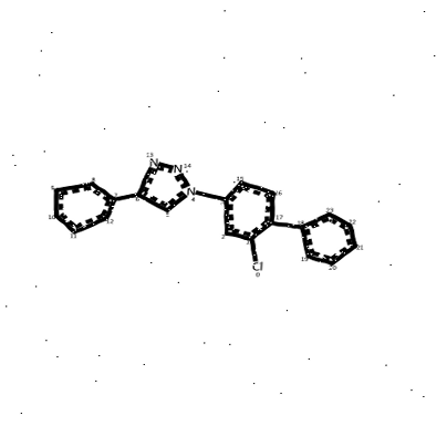 Clc1cc(-n2cc(-c3ccccc3)nn2)ccc1-c1ccccc1